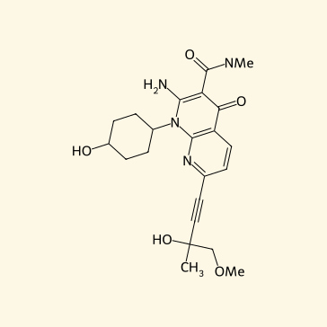 CNC(=O)c1c(N)n(C2CCC(O)CC2)c2nc(C#CC(C)(O)COC)ccc2c1=O